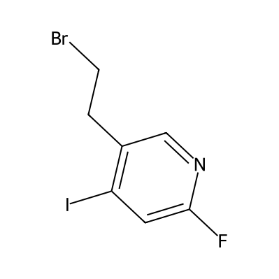 Fc1cc(I)c(CCBr)cn1